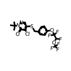 CC(C)(C)n1ncc(SCc2ccc(OC(F)(F)C(F)OC(F)(F)F)cc2)c(Cl)c1=O